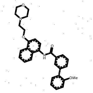 COc1ccccc1-c1cccc(C(=O)Nc2ccc(OCCN3CCOCC3)c3ccccc23)c1